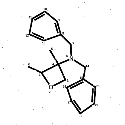 CC1OCC1(C)N(Cc1ccccc1)Cc1ccccc1